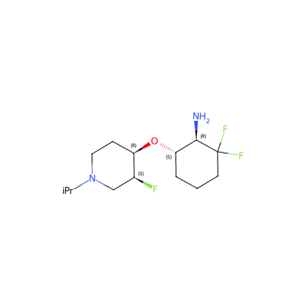 CC(C)N1CC[C@@H](O[C@H]2CCCC(F)(F)[C@@H]2N)[C@@H](F)C1